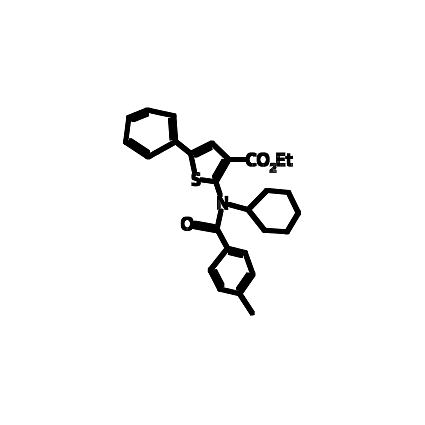 CCOC(=O)c1cc(-c2ccccc2)sc1N(C(=O)c1ccc(C)cc1)C1CCCCC1